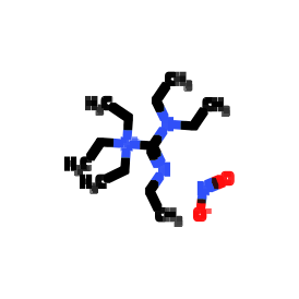 CCN=C(N(CC)CC)[N+](CC)(CC)CC.O=N[O-]